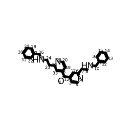 O=C(c1ccnc(CCNCc2ccccc2)c1)c1ccnc(CCNCc2ccccc2)c1